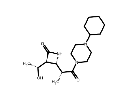 C[C@@H](O)[C@H]1C(=O)N[C@@H]1[C@@H](C)C(=O)N1CCN(C2CCCCC2)CC1